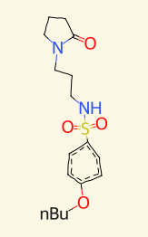 CCCCOc1ccc(S(=O)(=O)NCCCN2CCCC2=O)cc1